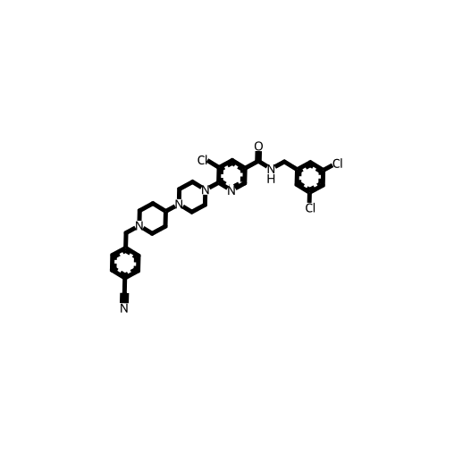 N#Cc1ccc(CN2CCC(N3CCN(c4ncc(C(=O)NCc5cc(Cl)cc(Cl)c5)cc4Cl)CC3)CC2)cc1